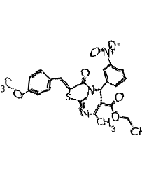 CCOC(=O)C1=C(C)N=c2s/c(=C\c3ccc(OC)cc3)c(=O)n2C1c1cccc([N+](=O)[O-])c1